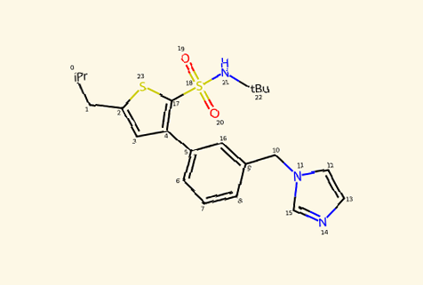 CC(C)Cc1cc(-c2cccc(Cn3ccnc3)c2)c(S(=O)(=O)NC(C)(C)C)s1